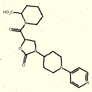 O=C(O)C1CCCCN1C(=O)C1CN(C2CCN(c3ccncc3)CC2)C(=O)O1